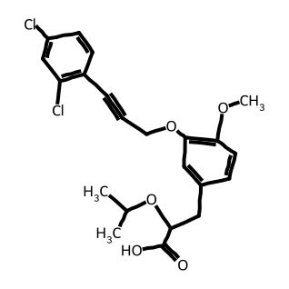 COc1ccc(CC(OC(C)C)C(=O)O)cc1OCC#Cc1ccc(Cl)cc1Cl